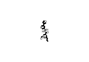 CCCCC[C@@H](CN(O)C=O)C(=O)NNc1cncc(-c2ccoc2)c1